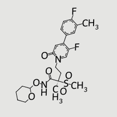 Cc1cc(-c2cc(=O)n(CC[C@](C)(C(=O)NOC3CCCCO3)S(C)(=O)=O)cc2F)ccc1F